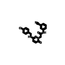 N#Cc1cccc(NC(=O)Cn2nc(NCc3ccc(Cl)cc3)ccc2=O)c1